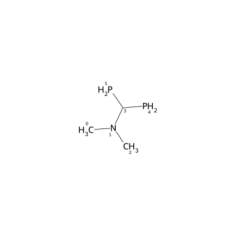 CN(C)C(P)P